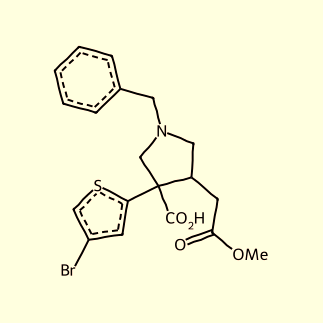 COC(=O)CC1CN(Cc2ccccc2)CC1(C(=O)O)c1cc(Br)cs1